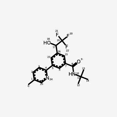 Cc1ccc(-c2cc(C(=O)NC(C)(C)C)cc(C(O)C(F)(F)F)c2)nc1